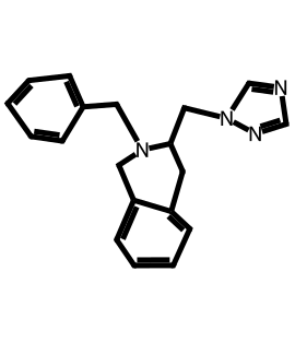 c1ccc(CN2Cc3ccccc3CC2Cn2cncn2)cc1